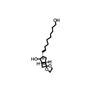 OCCCCCCCCC=C[C@@H]1C[C@H]2[C@@H](CC23OCCO3)C1O